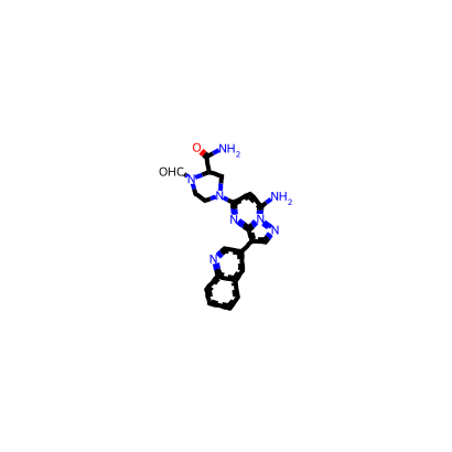 NC(=O)C1CN(c2cc(N)n3ncc(-c4cnc5ccccc5c4)c3n2)CCN1C=O